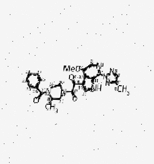 COc1cnc(-n2ncc(C)n2)c2[nH]cc(C(=O)C(=O)N3CCN(C(=O)c4ccccc4)[C@H](C)C3)c12